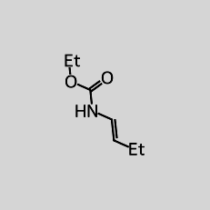 CC/C=C/NC(=O)OCC